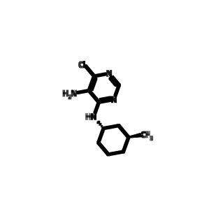 Nc1c(Cl)ncnc1N[C@H]1CCC[C@H](C(F)(F)F)C1